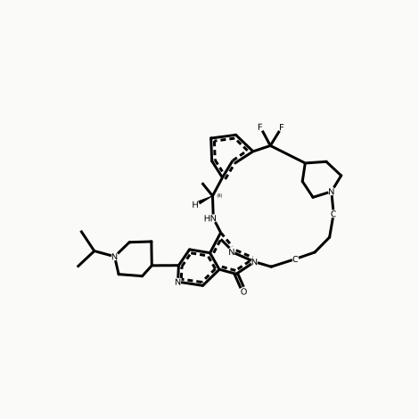 CC(C)N1CCC(c2cc3c4nn(c(=O)c3cn2)CCCCCN2CCC(CC2)C(F)(F)c2cccc(c2)[C@@H](C)N4)CC1